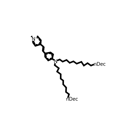 CCCCCCCCCCCCCCCCCCCCN(CCCCCCCCCCCCCCCCCCCC)c1ccc(C=Cc2cc[n+](C)cc2)cc1